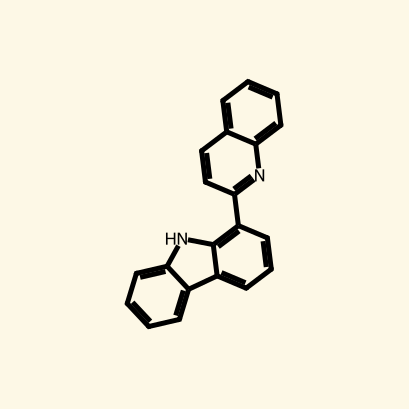 c1ccc2nc(-c3cccc4c3[nH]c3ccccc34)ccc2c1